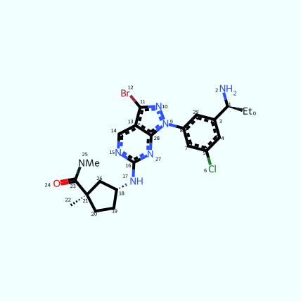 CC[C@H](N)c1cc(Cl)cc(-n2nc(Br)c3cnc(N[C@@H]4CC[C@@](C)(C(=O)NC)C4)nc32)c1